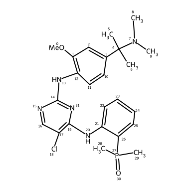 COc1cc(C(C)(C)N(C)C)ccc1Nc1ncc(Cl)c(Nc2ccccc2P(C)(C)=O)n1